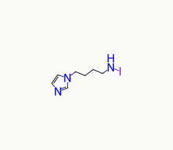 INCCCCn1ccnc1